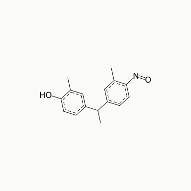 Cc1cc(C(C)c2ccc(N=O)c(C)c2)ccc1O